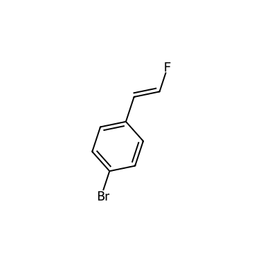 FC=Cc1ccc(Br)cc1